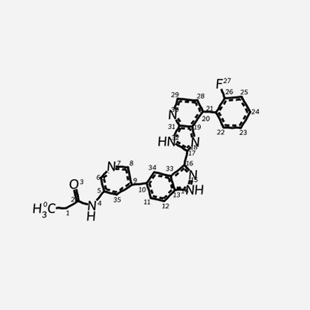 CCC(=O)Nc1cncc(-c2ccc3[nH]nc(-c4nc5c(-c6ccccc6F)ccnc5[nH]4)c3c2)c1